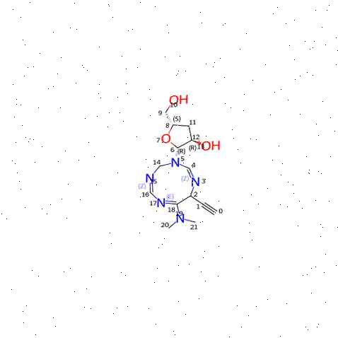 C#CC1/N=C\N([C@@H]2O[C@H](CO)C[C@H]2O)C/N=C\N=C/1N(C)C